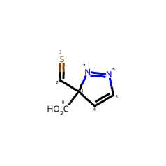 O=C(O)C1(C=S)C=CN=N1